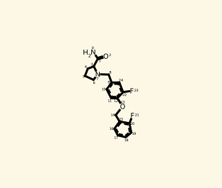 NC(=O)C1CCCN1Cc1ccc(OCc2ccccc2F)c(F)c1